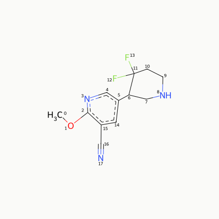 COc1ncc(C2CNCCC2(F)F)cc1C#N